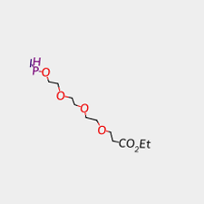 CCOC(=O)CCOCCOCCOCCOPI